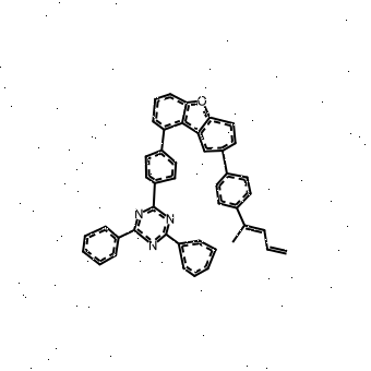 C=C/C=C(\C)c1ccc(-c2ccc3oc4cccc(-c5ccc(-c6nc(-c7ccccc7)nc(-c7ccccc7)n6)cc5)c4c3c2)cc1